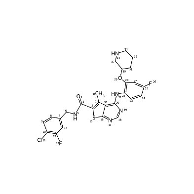 Cc1c(C(=O)NCc2ccc(Cl)c(F)c2)sc2ncnc(Nc3ccc(F)cc3OC3CCCNC3)c12